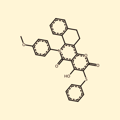 COc1ccc(-n2c3c(c4oc(=O)c(Sc5ccccc5)c(O)c4c2=O)CCc2ccccc2-3)cc1